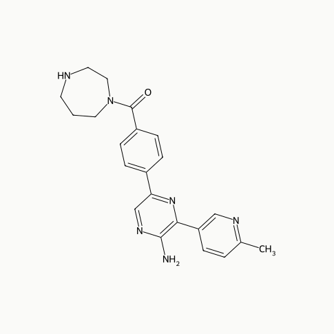 Cc1ccc(-c2nc(-c3ccc(C(=O)N4CCCNCC4)cc3)cnc2N)cn1